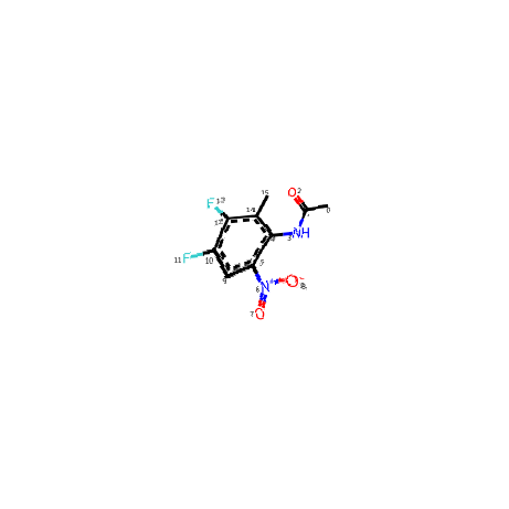 CC(=O)Nc1c([N+](=O)[O-])cc(F)c(F)c1C